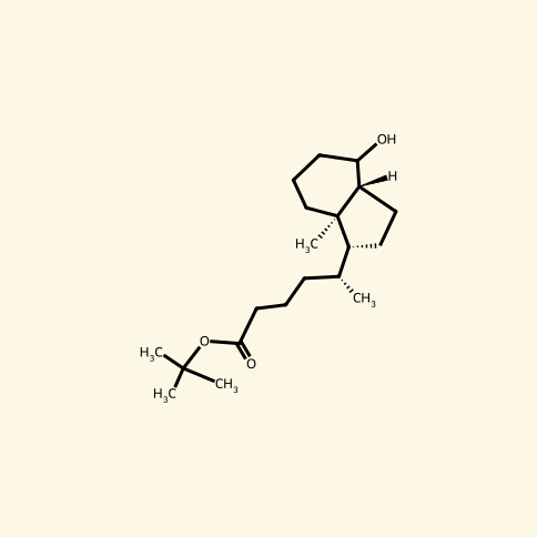 C[C@H](CCCC(=O)OC(C)(C)C)[C@H]1CC[C@H]2C(O)CCC[C@]12C